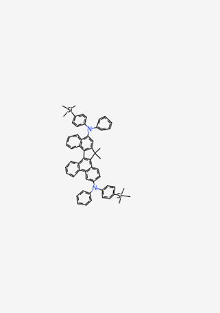 CC1(C)c2cc(N(c3ccccc3)c3ccc([Si](C)(C)C)cc3)c3ccccc3c2-c2c1c1ccc(N(c3ccccc3)c3ccc([Si](C)(C)C)cc3)cc1c1ccccc21